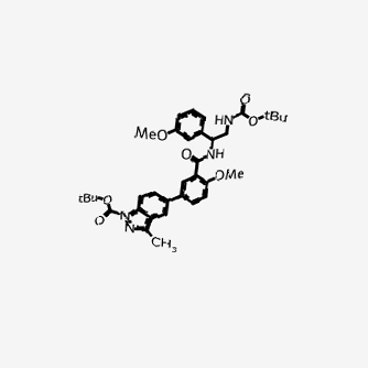 COc1cccc(C(CNC(=O)OC(C)(C)C)NC(=O)c2cc(-c3ccc4c(c3)c(C)nn4C(=O)OC(C)(C)C)ccc2OC)c1